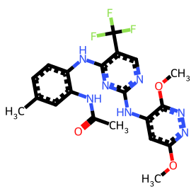 COc1cc(Nc2ncc(C(F)(F)F)c(Nc3ccc(C)cc3NC(C)=O)n2)c(OC)nn1